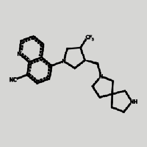 N#Cc1ccc(N2CC(C(F)(F)F)[C@@H](CN3CCC4(CCNC4)C3)C2)c2cccnc12